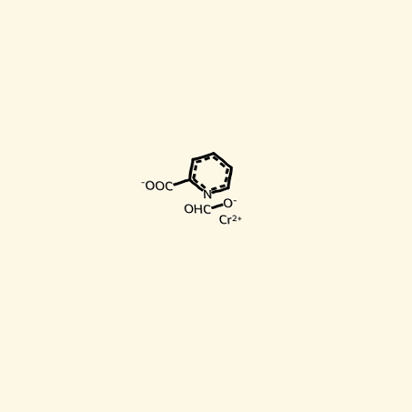 O=C([O-])c1ccccn1.O=C[O-].[Cr+2]